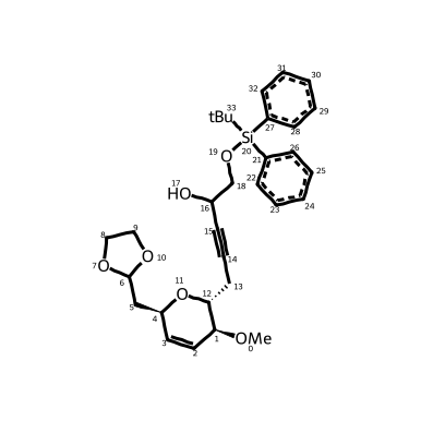 CO[C@H]1C=C[C@@H](CC2OCCO2)O[C@@H]1CC#CC(O)CO[Si](c1ccccc1)(c1ccccc1)C(C)(C)C